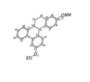 [CH2]COc1ccc(C2c3ccc(OC)cc3CCC2c2ccccc2)cc1